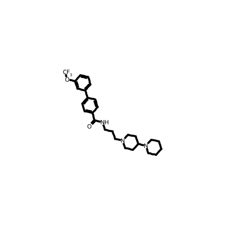 O=C(NCCCN1CCC(N2CCCCC2)CC1)c1ccc(-c2cccc(OC(F)(F)F)c2)cc1